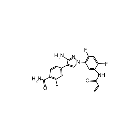 C=CC(=O)Nc1cc(-n2cc(-c3ccc(C(N)=O)c(F)c3)c(N)n2)c(F)cc1F